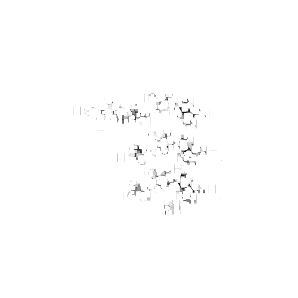 Nc1ncnc2c1ncn2[C@@H]1O[C@H](COP(=O)(O)O)[C@@H](O)[C@H]1O.Nc1ncnc2c1ncn2[C@@H]1O[C@H](COP(=O)(O)O)[C@@H](O)[C@H]1O.Nc1ncnc2c1ncn2[C@@H]1O[C@H](COP(=O)(O)O)[C@@H](O)[C@H]1O.O=CC(O)C(O)C(O)CO.P.P